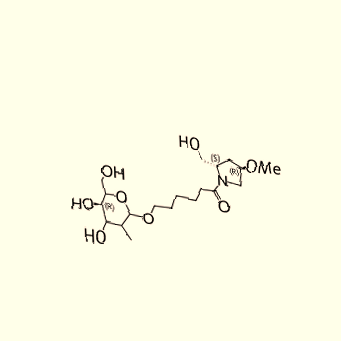 CO[C@@H]1C[C@@H](CO)N(C(=O)CCCCCOC2OC(CO)[C@H](O)C(O)C2C)C1